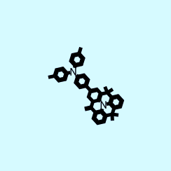 C=C1c2cccc3c2N2C4=C(C=C(c5ccc(N(c6ccc(C)cc6)c6ccc(C)cc6)cc5)CC14)C(C)(C)c1cccc(c12)C3(C)C